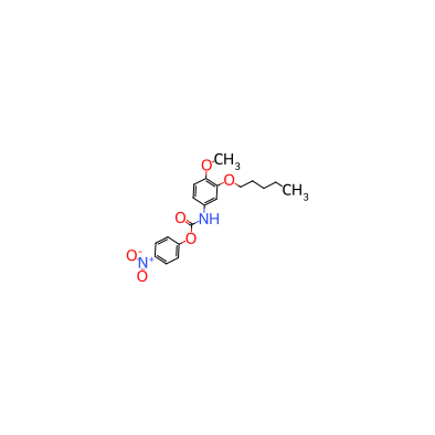 CCCCCOc1cc(NC(=O)Oc2ccc([N+](=O)[O-])cc2)ccc1OC